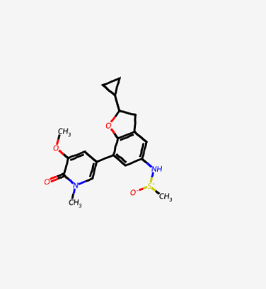 COc1cc(-c2cc(N[S+](C)[O-])cc3c2OC(C2CC2)C3)cn(C)c1=O